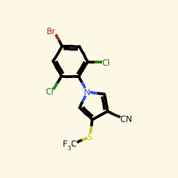 N#Cc1cn(-c2c(Cl)cc(Br)cc2Cl)cc1SC(F)(F)F